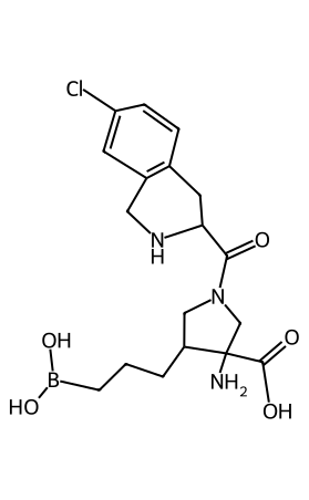 NC1(C(=O)O)CN(C(=O)C2Cc3ccc(Cl)cc3CN2)CC1CCCB(O)O